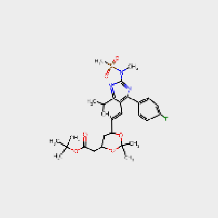 CC(C)c1nc(N(C)S(C)(=O)=O)nc(-c2ccc(F)cc2)c1C=CC1CC(CC(=O)OC(C)(C)C)OC(C)(C)O1